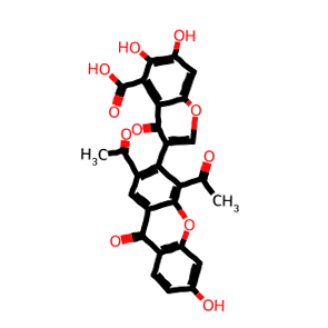 CC(=O)c1cc2c(=O)c3ccc(O)cc3oc2c(C(C)=O)c1-c1coc2cc(O)c(O)c(C(=O)O)c2c1=O